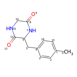 Cc1ccc(CC2NC(=O)CNC2=O)cc1